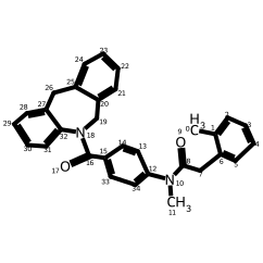 Cc1ccccc1CC(=O)N(C)c1ccc(C(=O)N2Cc3ccccc3Cc3ccccc32)cc1